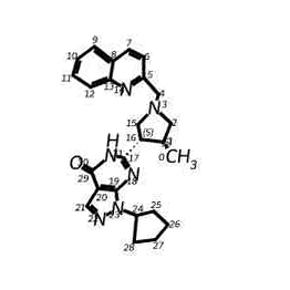 C[C@@H]1CN(Cc2ccc3ccccc3n2)C[C@H]1c1nc2c(cnn2C2CCCC2)c(=O)[nH]1